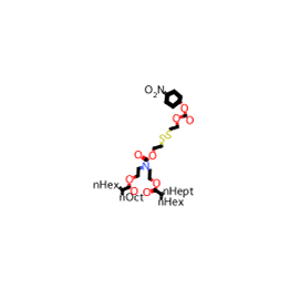 CCCCCCCCC(CCCCCC)C(=O)OCCN(CCOC(=O)C(CCCCCC)CCCCCCC)C(=O)OCCSSCCOC(=O)Oc1ccc([N+](=O)[O-])cc1